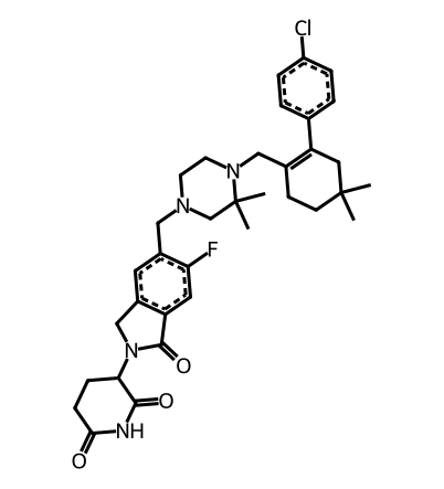 CC1(C)CCC(CN2CCN(Cc3cc4c(cc3F)C(=O)N(C3CCC(=O)NC3=O)C4)CC2(C)C)=C(c2ccc(Cl)cc2)C1